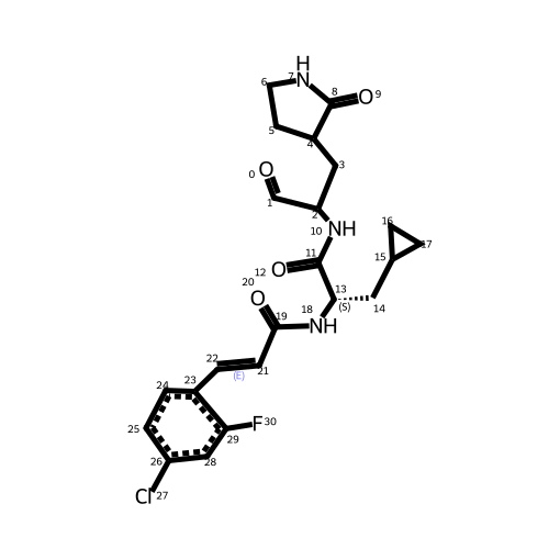 O=CC(CC1CCNC1=O)NC(=O)[C@H](CC1CC1)NC(=O)/C=C/c1ccc(Cl)cc1F